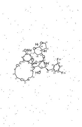 COc1ccc2c(c1)COCCCCCCCCN(C[C@@H](O)[C@H](Cc1cc(F)cc(F)c1)NC(=O)O[C@H]1CCO[C@H]3OCC[C@H]31)S2(=O)=O